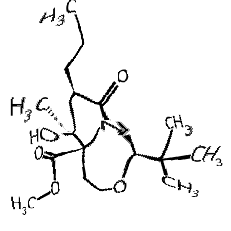 CCC[C@H]1C(=O)N2[C@@H](C(C)(C)C)OC[C@]2(C(=O)OC)[C@@]1(C)O